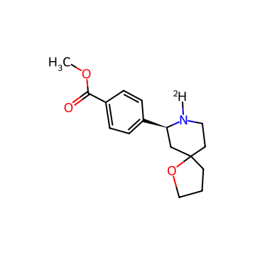 [2H]N1CCC2(CCCO2)C[C@H]1c1ccc(C(=O)OC)cc1